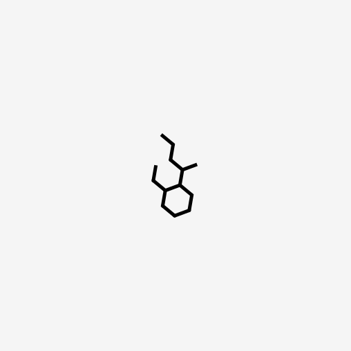 CCCC(C)C1CCCCC1CC